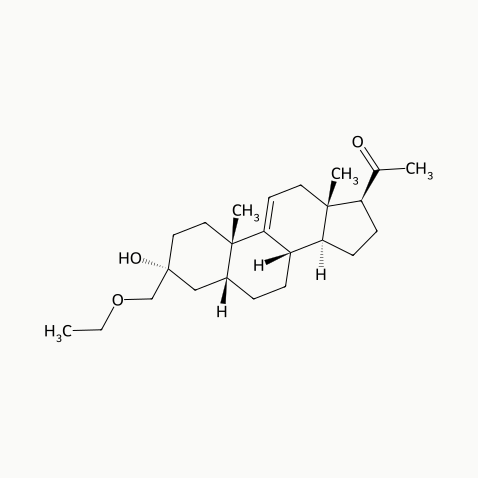 CCOC[C@@]1(O)CC[C@]2(C)C3=CC[C@]4(C)[C@@H](C(C)=O)CC[C@H]4[C@@H]3CC[C@@H]2C1